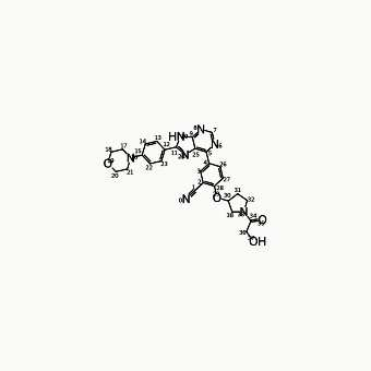 N#Cc1cc(-c2ncnc3[nH]c(-c4ccc(N5CCOCC5)cc4)nc23)ccc1OC1CCN(C(=O)CO)C1